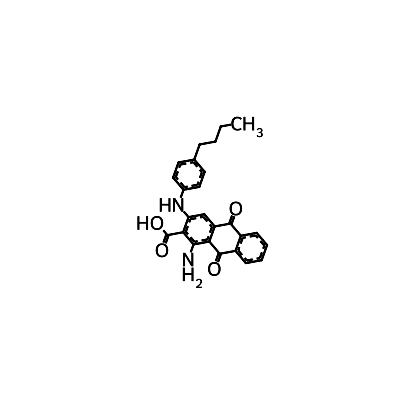 CCCCc1ccc(Nc2cc3c(c(N)c2C(=O)O)C(=O)c2ccccc2C3=O)cc1